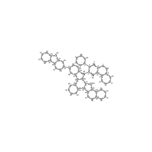 c1ccc(-c2nc3ccc4ccccc4c3nc2-n2c3ccc(-c4ccc5c(c4)sc4ccccc45)cc3c3c4ccccc4c4c5ccc6ccccc6c5oc4c32)cc1